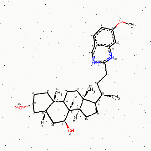 COc1ccc2cnc(CC[C@@H](C)[C@H]3CC[C@H]4[C@H]5C(CC[C@]34C)[C@@]3(C)CC[C@@H](O)C[C@H]3C[C@@H]5O)nc2c1